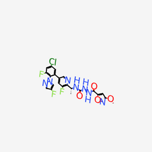 COc1cc(C(=O)NNC(=O)N[C@H](C)c2ncc(-c3cc(Cl)cc(F)c3-n3cc(F)cn3)cc2F)on1